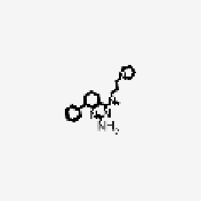 CN(CCCN1CCCC1)c1nc(N)nc2c1CCCC2c1ccccc1